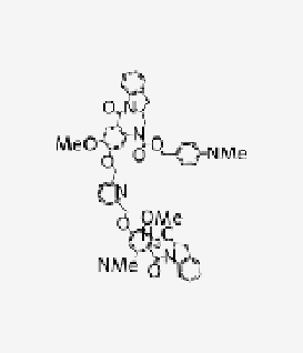 CNc1ccc(COC(=O)N2CC3Cc4ccccc4N3C(=O)c3cc(OC)c(OCc4cccc(COc5cc(NC)c(C(=O)N6c7ccccc7C[C@H]6C)cc5OC)n4)cc32)cc1